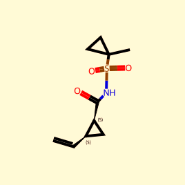 C=C[C@@H]1C[C@@H]1C(=O)NS(=O)(=O)C1(C)CC1